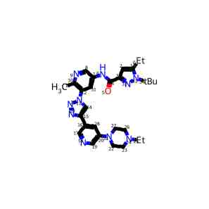 CCc1cc(C(=O)Nc2cnc(C)c(-n3cc(-c4cncc(N5CCN(CC)CC5)c4)nn3)c2)nn1C(C)(C)C